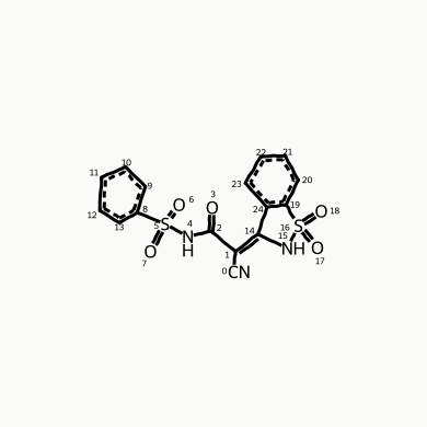 N#CC(C(=O)NS(=O)(=O)c1ccccc1)=C1NS(=O)(=O)c2ccccc21